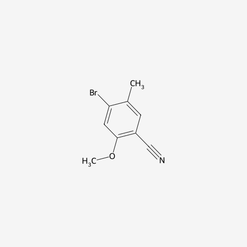 COc1cc(Br)c(C)cc1C#N